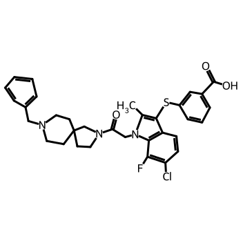 Cc1c(Sc2cccc(C(=O)O)c2)c2ccc(Cl)c(F)c2n1CC(=O)N1CCC2(CCN(Cc3ccccc3)CC2)C1